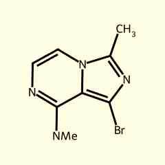 CNc1nccn2c(C)nc(Br)c12